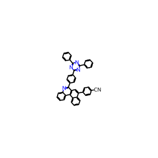 N#Cc1ccc(-c2cc3c(-c4ccc(-c5nc(-c6ccccc6)nc(-c6ccccc6)n5)cc4)nc4ccccc4c3c3ccccc23)cc1